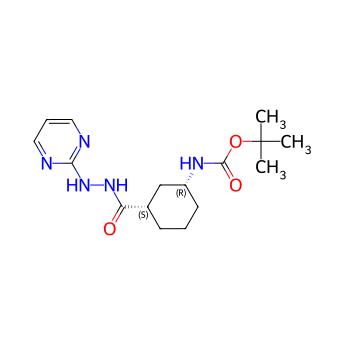 CC(C)(C)OC(=O)N[C@@H]1CCC[C@H](C(=O)NNc2ncccn2)C1